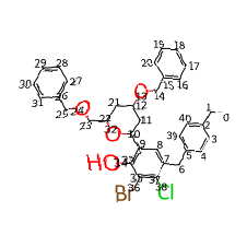 CCc1ccc(Cc2cc(C3CC(OCc4ccccc4)CC(COCc4ccccc4)O3)c(O)c(Br)c2Cl)cc1